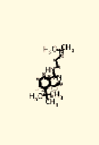 CN(C)CCCNc1nccc2c(C(C)(C)C)cccc12